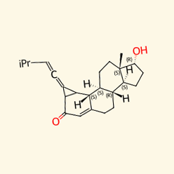 CC(C)C=C=C1C2C(=O)C=C3CC[C@@H]4[C@H](CC[C@]5(C)[C@H](O)CC[C@@H]45)[C@H]3C12